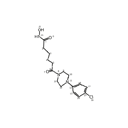 O=C(CCCCC(=O)N1CCN(c2ccc(Cl)cc2)CC1)NO